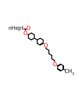 [CH2+][CH-]CCCCCC(=O)OC1CCC(C2CC=C(OCCCCCCOc3ccc(C)cc3)CC2)CC1